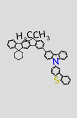 CC1(C)c2ccc(-c3ccc4c(c3)c3ccccc3n4-c3ccc4sc5ccccc5c4c3)cc2-c2cc3c(cc21)-c1ccccc1C31CCCCC1